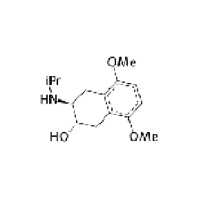 COc1ccc(OC)c2c1C[C@H](NC(C)C)[C@@H](O)C2